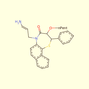 CCCCCOC1C(=O)N(CC=CN)c2ccc3ccccc3c2SC1c1ccccc1